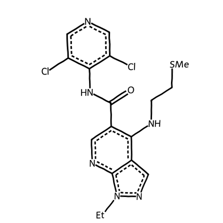 CCn1ncc2c(NCCSC)c(C(=O)Nc3c(Cl)cncc3Cl)cnc21